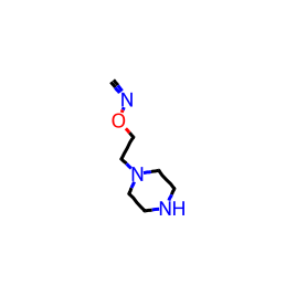 C=NOCCN1CCNCC1